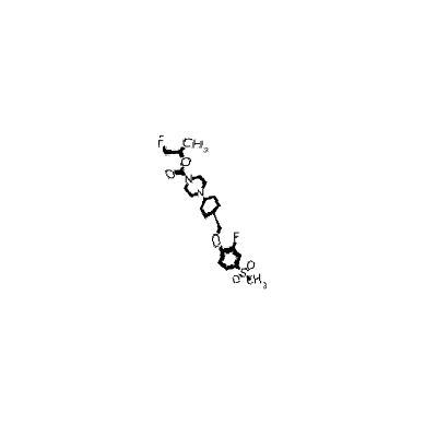 CC(CF)OC(=O)N1CCN([C@H]2CC[C@H](COc3ccc(S(C)(=O)=O)cc3F)CC2)CC1